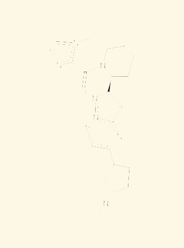 Cc1cn2nc([C@@H]3CCCCN3C(=O)c3nccn3C)cc2nc1C1CC[C@H](N)C1